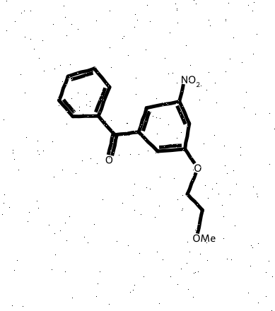 COCCOc1cc(C(=O)c2ccccc2)cc([N+](=O)[O-])c1